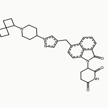 O=C1CCC(N2C(=O)c3cccc4c(Cc5cnn(C6CCN(C7CCC78CCC8)CC6)c5)ccc2c34)C(=O)N1